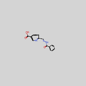 O=C(O)c1ccc(C=NNC(=O)c2ccccc2)nc1